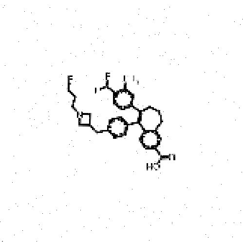 Cc1cc(C2=C(c3ccc(CC4CN(CCCF)C4)cc3)c3ccc(C(=O)O)cc3CCC2)ccc1C(F)F